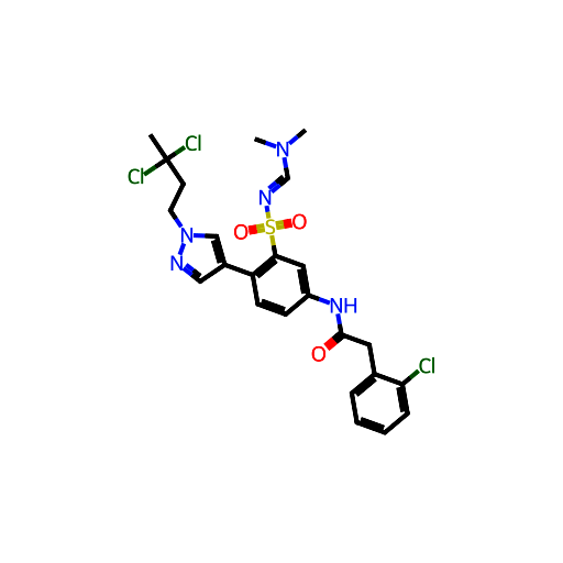 CN(C)C=NS(=O)(=O)c1cc(NC(=O)Cc2ccccc2Cl)ccc1-c1cnn(CCC(C)(Cl)Cl)c1